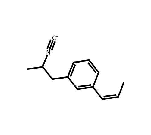 [C-]#[N+]C(C)Cc1cccc(/C=C\C)c1